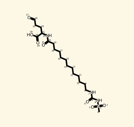 CS(=O)(=O)NC(=O)NCCCCCCCCCCCCC(=O)NC(CCC=O)C(=O)O